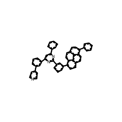 c1ccc(-c2cc(-c3cccc(-c4ccncc4)c3)nc(-c3cccc(-c4ccc5ccc6c(-c7ccccc7)ccc7ccc4c5c76)c3)n2)cc1